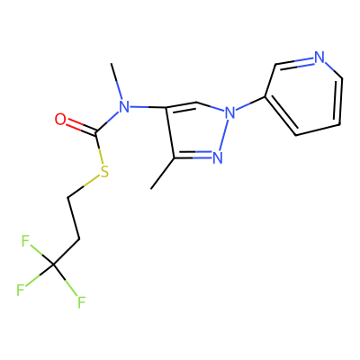 Cc1nn(-c2cccnc2)cc1N(C)C(=O)SCCC(F)(F)F